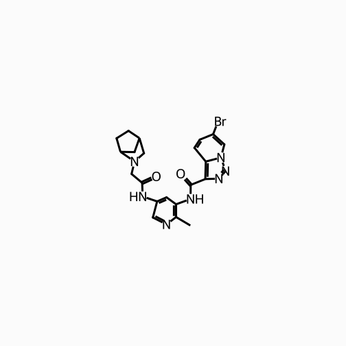 Cc1ncc(NC(=O)CN2CC3CCC2C3)cc1NC(=O)c1nnn2cc(Br)ccc12